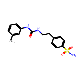 Cc1cccc(NC(=O)NCCc2ccc(S(N)(=O)=O)cc2)c1